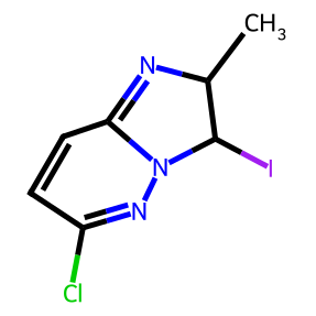 CC1N=C2C=CC(Cl)=NN2C1I